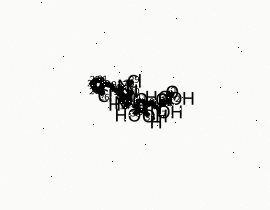 O=P(O)(O)CP(=O)(O)NCC1OC(n2cnc3c(NCc4ccccc4Cl)nc(Cl)nc32)C(O)C1O